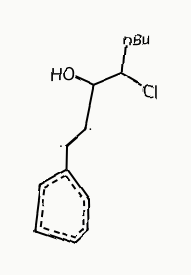 CCCCC(Cl)C(O)[CH][CH]c1ccccc1